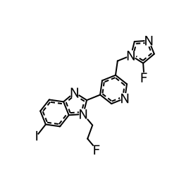 FCCn1c(-c2cncc(Cn3cncc3F)c2)nc2ccc(I)cc21